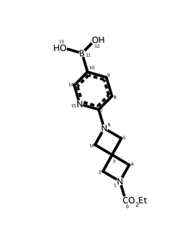 CCOC(=O)N1CC2(C1)CN(c1ccc(B(O)O)cn1)C2